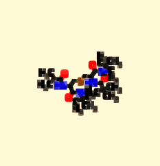 CC(C)C(=O)NC(CSCC(NC(=O)C(C)(C)C)C(=O)NC(C)(C)C)C(=O)NC(C)(C)C